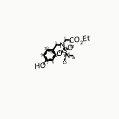 CCOC(=O)CN(Cc1ccc(O)cc1)S(=O)(=O)N(C)C